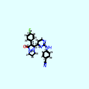 N#Cc1ccc(Nc2nccc(-c3c(-c4ccc(F)cc4)c(=O)n4n3CCC4)n2)cc1